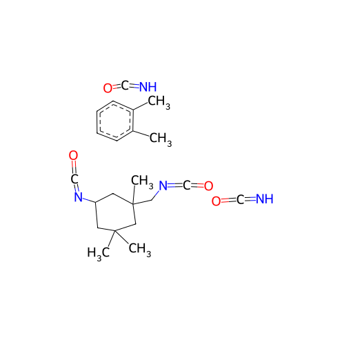 CC1(C)CC(N=C=O)CC(C)(CN=C=O)C1.Cc1ccccc1C.N=C=O.N=C=O